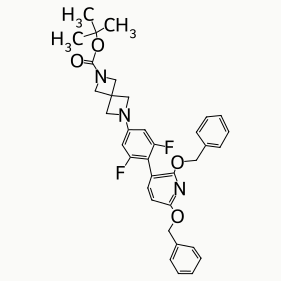 CC(C)(C)OC(=O)N1CC2(C1)CN(c1cc(F)c(-c3ccc(OCc4ccccc4)nc3OCc3ccccc3)c(F)c1)C2